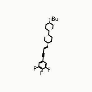 CCCC[C@H]1CC[C@H]([C@H]2CC[C@H](C=CC#Cc3cc(F)c(F)c(F)c3)CC2)CC1